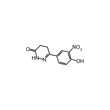 O=C1CCC(c2ccc(O)c([N+](=O)[O-])c2)=NN1